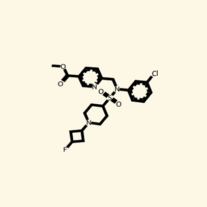 COC(=O)c1ccc(CN(c2cccc(Cl)c2)S(=O)(=O)C2CCN(C3CC(F)C3)CC2)nc1